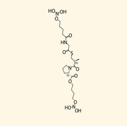 C[C@H](CSC(=O)CNC(=O)CCCCON(O)O)C(=O)N1CCC[C@H]1C(=O)OCCCCON(O)O